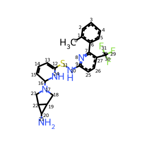 Cc1ccccc1-c1nc(NSC2=CC=CC(N3CC4C(N)C4C3)N2)ccc1C(F)(F)F